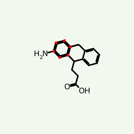 Nc1ccc2c(c1)C1(CCC(=O)O)c3ccccc3C2c2ccccc21